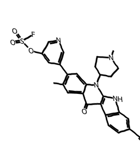 C#Cc1ccc2c(c1)[nH]c1c2c(=O)c2cc(C)c(-c3cncc(OS(=O)(=O)F)c3)cc2n1C1CCN(C)CC1